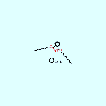 C1CCCCC1.CCCCCCCCOC(=O)c1ccccc1C(=O)OCCCCCCCC.[CaH2]